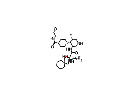 COCCN(C)C(=O)C1CCN(C2C(F)CNCC2NC(=O)C2C(N)NC3CCC(F)CNC2CC32CCCCCC2)CC1